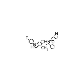 C[C@H]1C2=CNN(c3ccc(F)cc3)C2=CC2=C1[C@@H](CC(NC(=O)Cc1cccnc1)c1ccccc1)CC2